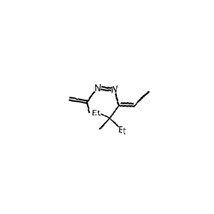 C=C(C)/N=N\C(=C/C)C(C)(CC)CC